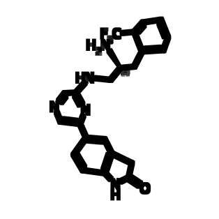 N[C@H](CNc1cncc(-c2ccc3c(c2)CC(=O)N3)n1)Cc1ccccc1C(F)(F)F